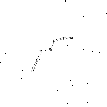 [N-]=[N+]=N[Si]N=[N+]=[N-]